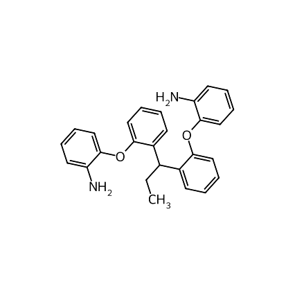 CCC(c1ccccc1Oc1ccccc1N)c1ccccc1Oc1ccccc1N